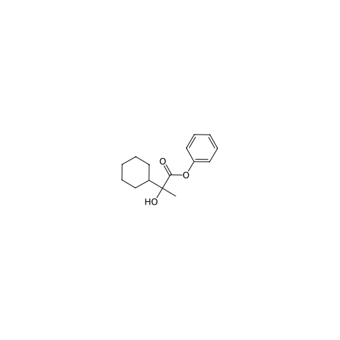 CC(O)(C(=O)Oc1ccccc1)C1CCCCC1